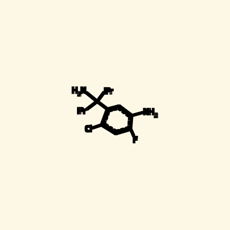 CC(C)C(N)(c1cc(N)c(F)cc1Cl)C(C)C